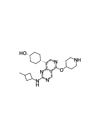 CC1CC(Nc2ncc3c(OC4CCNCC4)ncc([C@H]4CC[C@@H](O)CC4)c3n2)C1